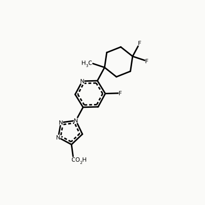 CC1(c2ncc(-n3cc(C(=O)O)nn3)cc2F)CCC(F)(F)CC1